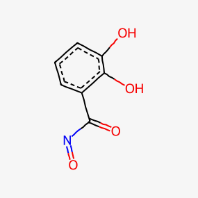 O=NC(=O)c1cccc(O)c1O